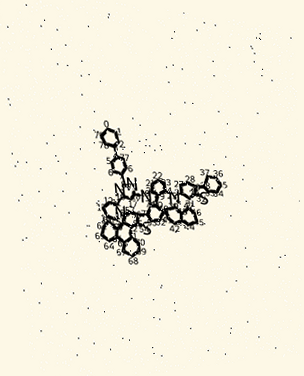 c1ccc(-c2ccc(-c3nc(-c4ccccn4)cc(-n4c5cccc(N(c6ccc7c(c6)sc6ccccc67)c6cccc7ccccc67)c5c5ccc6sc7c(ccc8c9ccccc9c9ccccc9c87)c6c54)n3)cc2)cc1